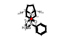 CN(c1ccccc1)[C@H]1C[C@H]2CC[C@@H](C1)N2C(=O)OC(C)(C)C